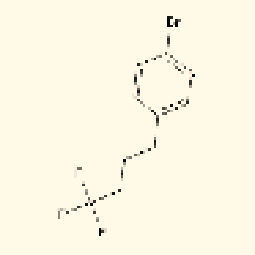 FC(F)(F)CCCc1ccc(Br)nc1